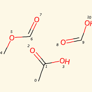 CC(=O)O.COC=O.O=CO